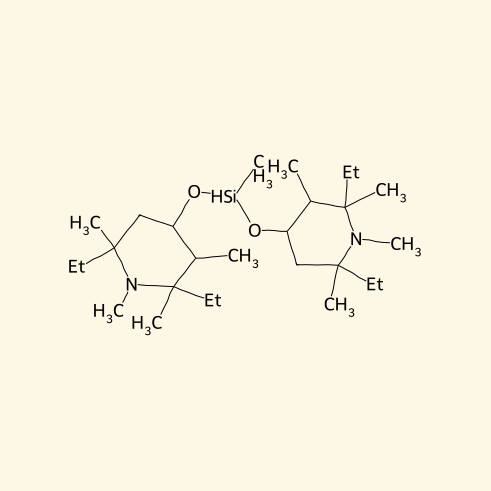 CCC1(C)CC(O[SiH](C)OC2CC(C)(CC)N(C)C(C)(CC)C2C)C(C)C(C)(CC)N1C